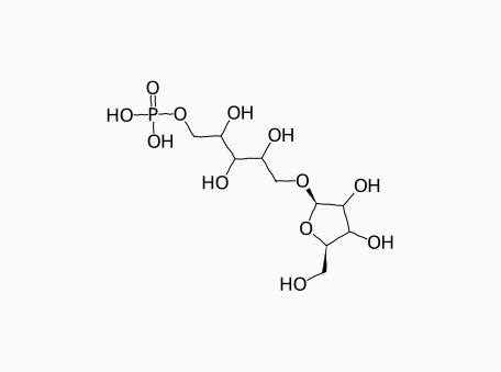 O=P(O)(O)OCC(O)C(O)C(O)CO[C@@H]1O[C@H](CO)C(O)C1O